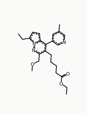 CCOC(=O)CCCCc1c(COC)nn2c(CC)ccc2c1-c1cncc(C)c1